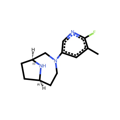 Cc1cc(N2CC[C@H]3CC[C@@H](C2)N3)cnc1F